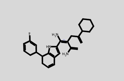 C=C(N)/C(CC(=C)C1CCCCC1)=C(/N)c1cc2c([nH]1)C(C1C=C(F)C=CC1)CC=C2